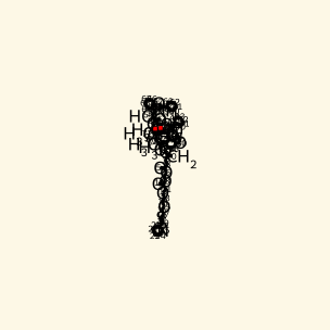 C=C(CCC(=O)OCOC(=O)COCCOCCSSc1ccccn1)O[C@H]1CC2OC[C@@]2(OC(C)=O)[C@H]2[C@H](OC(=O)c3ccccc3)[C@]3(O)CC(OC(=O)[C@H](O)[C@@H](NC(=O)c4ccccc4)c4ccccc4)C(C)=C([C@@H](C)C(=O)[C@]12C)C3(C)C